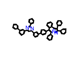 c1ccc(-c2cccc(-c3cc(-c4cccc(-c5ccc(-c6c(-c7ccccc7)n7nc(-c8ccccc8)c(-c8ccccc8)c7c7ccccc67)cc5)c4)nc(-c4ccccc4)n3)c2)cc1